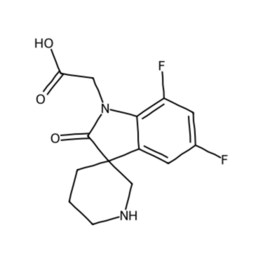 O=C(O)CN1C(=O)C2(CCCNC2)c2cc(F)cc(F)c21